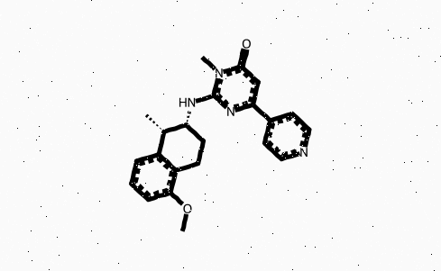 COc1cccc2c1CC[C@@H](Nc1nc(-c3ccncc3)cc(=O)n1C)[C@H]2C